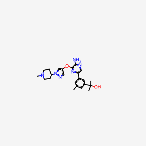 Cc1cc(-c2cnc(N)c(Oc3cnn(C4CCN(C)CC4)c3)n2)cc(C(C)(C)O)c1